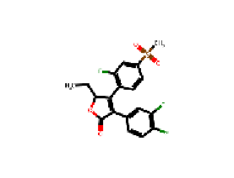 CCC1OC(=O)C(c2ccc(F)c(F)c2)=C1c1ccc(S(C)(=O)=O)cc1F